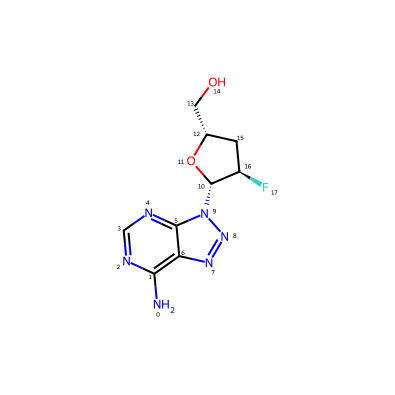 Nc1ncnc2c1nnn2[C@@H]1O[C@H](CO)C[C@H]1F